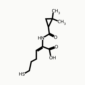 CC1(C)CC1C(=O)NC(=CCCCS)C(=O)O